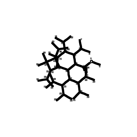 COC(=O)C(C(C(C)C)C(C(C)C)C(C)C)C(C(C(C(C)C)C(C)C)C(C(C)C)C(C)C)C1C(C(C)C)C(C)(C)C1C(C)C